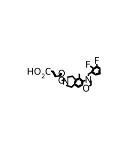 Cc1c2c(cc3c1N(Cc1cccc(F)c1F)CCO3)CCN(OC(=O)/C=C/C(=O)O)CC2